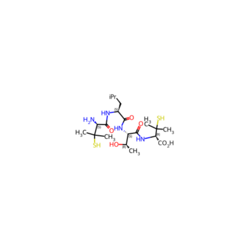 CC(C)C[C@H](NC(=O)[C@H](N)C(C)(C)S)C(=O)N[C@H](C(=O)N[C@H](C(=O)O)C(C)(C)S)[C@@H](C)O